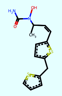 CC(/C=C\c1ccc(Cc2cccs2)s1)N(O)C(N)=O